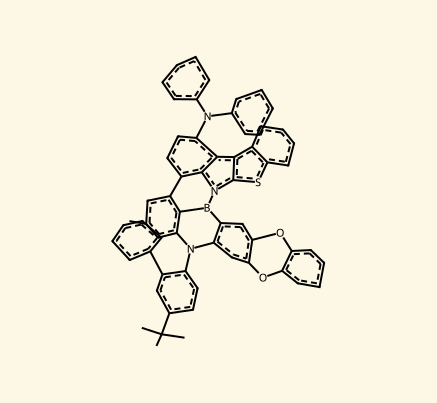 Cc1cc2c3c(c1)N(c1ccc(C(C)(C)C)cc1-c1ccccc1)c1cc4c(cc1B3n1c3sc5ccccc5c3c3c(N(c5ccccc5)c5ccccc5)ccc-2c31)Oc1ccccc1O4